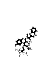 CC(C)(O)CC[C@H](C[C@H](O)[C@H](Cc1ccc(F)cc1)NC(=O)c1cnc2ccccc2n1)C(N)=O